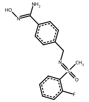 CS(=O)(=NCc1ccc(/C(N)=N/O)cc1)c1ccccc1F